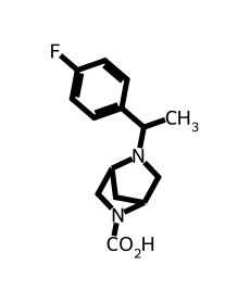 CC(c1ccc(F)cc1)N1CC2CC1CN2C(=O)O